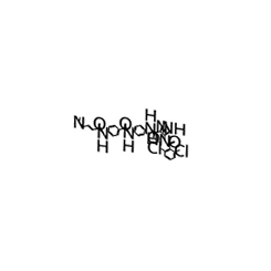 CN(C)CC=CC(=O)Nc1ccc(C(=O)Nc2ccc(NC(=O)c3n[nH]cc3NC(=O)c3c(Cl)cccc3Cl)cc2)cc1